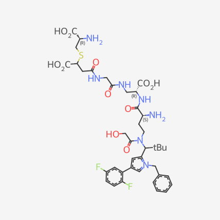 CC(C)(C)C(c1cc(-c2cc(F)ccc2F)cn1Cc1ccccc1)N(CC[C@H](N)C(=O)N[C@H](CNC(=O)CNC(=O)CC(SC[C@H](N)C(=O)O)C(=O)O)C(=O)O)C(=O)CO